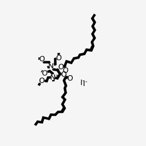 CCCCCCCC/C=C\CCCCCCCC(=O)OC(C[N+](C)(CCOC)CCOC)C(C[N+](C)(CCOC)CCOC)OC(=O)CCCCCCC/C=C\CCCCCCCC.[I-].[I-]